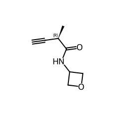 C#C[C@@H](C)C(=O)NC1COC1